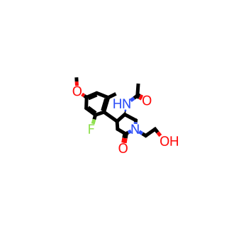 COc1cc(C)c(C2CC(=O)N(CCO)C[C@H]2NC(C)=O)c(F)c1